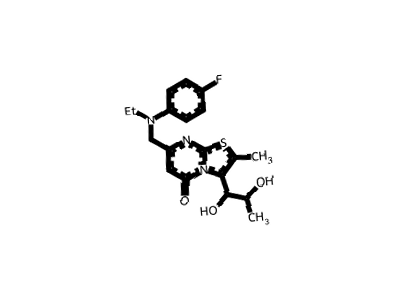 CCN(Cc1cc(=O)n2c(C(O)C(C)O)c(C)sc2n1)c1ccc(F)cc1